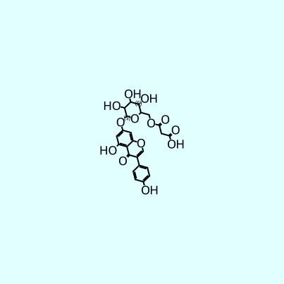 O=C(O)CC(=O)OCC1O[C@@H](Oc2cc(O)c3c(=O)c(-c4ccc(O)cc4)coc3c2)C(O)C(O)[C@@H]1O